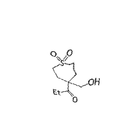 CCC(=O)C1(CO)CCS(=O)(=O)CC1